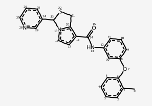 Cc1ccccc1Oc1cccc(NC(=O)c2ccn3c2CSC3c2cccnc2)c1